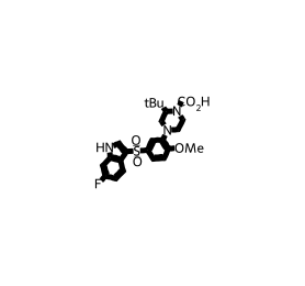 COc1ccc(S(=O)(=O)c2c[nH]c3cc(F)ccc23)cc1N1CCN(C(=O)O)C(C(C)(C)C)C1